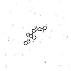 CC1(C)c2ccc(-c3c4ccccc4c(-c4ccc5ccccc5c4)c4ccccc34)cc2-c2cc3oc4ccccc4c3cc21